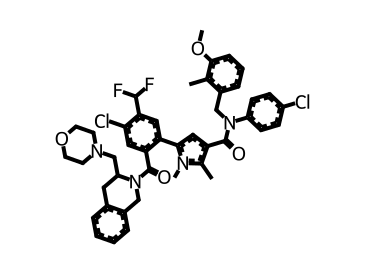 COc1cccc(CN(C(=O)c2cc(-c3cc(C(F)F)c(Cl)cc3C(=O)N3Cc4ccccc4CC3CN3CCOCC3)n(C)c2C)c2ccc(Cl)cc2)c1C